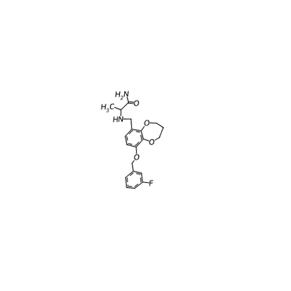 CC(NCc1ccc(OCc2cccc(F)c2)c2c1OCCCO2)C(N)=O